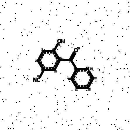 N#Cc1ccc(O)c(C(=O)c2ccccn2)c1